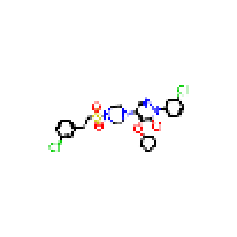 O=c1c(OC2CCCC2)c(N2CCN(S(=O)(=O)CCc3cccc(Cl)c3)CC2)cnn1-c1cccc(Cl)c1